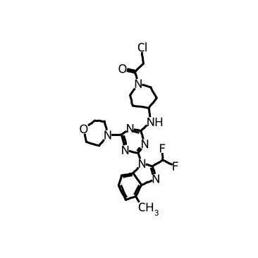 Cc1cccc2c1nc(C(F)F)n2-c1nc(NC2CCN(C(=O)CCl)CC2)nc(N2CCOCC2)n1